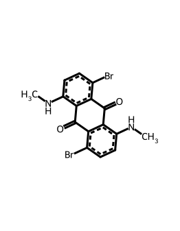 CNc1ccc(Br)c2c1C(=O)c1c(Br)ccc(NC)c1C2=O